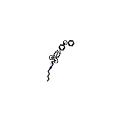 CCCCCC#C/C=C/S(=O)(=O)N1CCN(c2ccc(Oc3ccccc3)cc2)CC1